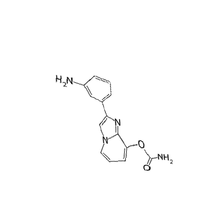 NC(=O)Oc1cccn2cc(-c3cccc(N)c3)nc12